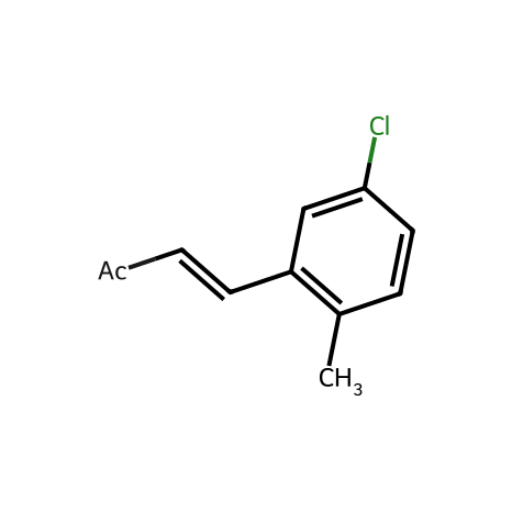 CC(=O)C=Cc1cc(Cl)ccc1C